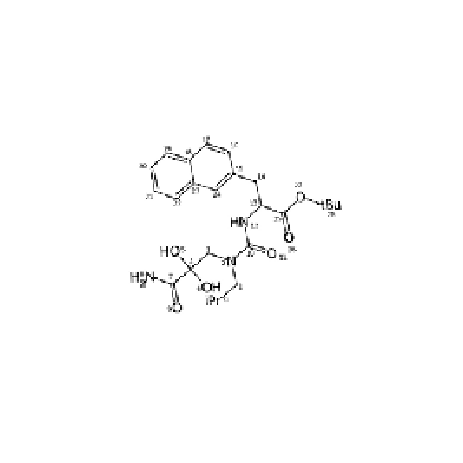 CC(C)CN(CC(O)(O)C(N)=O)C(=O)NC(Cc1ccc2ccccc2c1)C(=O)OC(C)(C)C